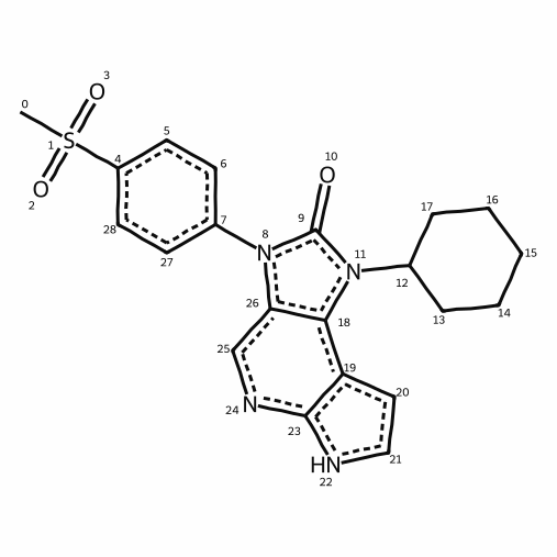 CS(=O)(=O)c1ccc(-n2c(=O)n(C3CCCCC3)c3c4cc[nH]c4ncc32)cc1